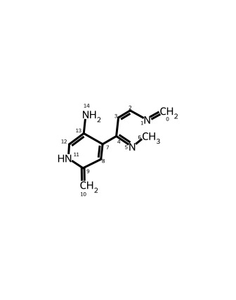 C=N/C=C\C(=N/C)C1=CC(=C)NC=C1N